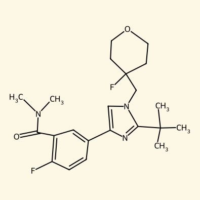 CN(C)C(=O)c1cc(-c2cn(CC3(F)CCOCC3)c(C(C)(C)C)n2)ccc1F